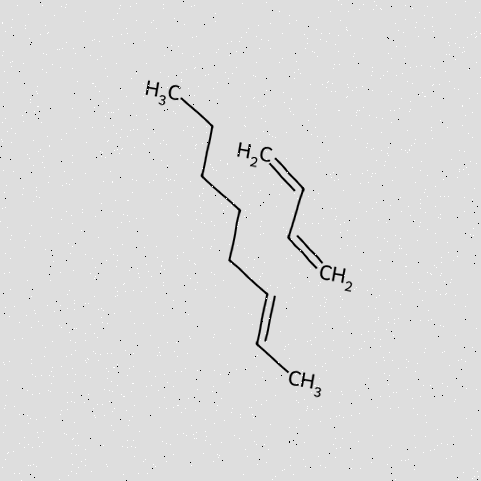 C=CC=C.CC=CCCCCC